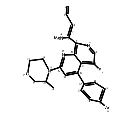 C=C/C=C(\NC)c1ncc(F)c2c(-c3ccc(C(C)=O)cc3)cc(N3CCOCC3C)nc12